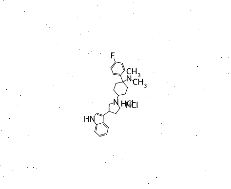 CN(C)C1(c2ccc(F)cc2)CCC(N2CCC(c3c[nH]c4ccccc34)C2)CC1.Cl.Cl